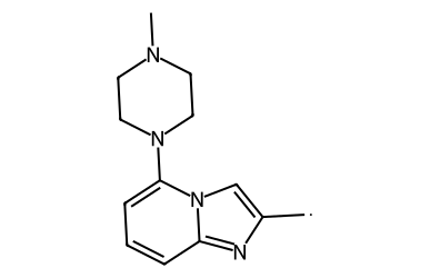 [CH2]c1cn2c(N3CCN(C)CC3)cccc2n1